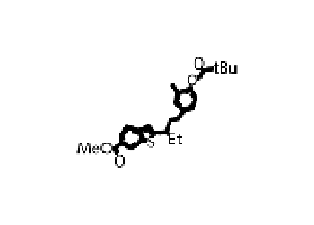 CCC(CCc1ccc(OCC(=O)C(C)(C)C)c(C)c1)c1cc2ccc(C(=O)OC)cc2s1